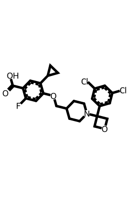 O=C(O)c1cc(C2CC2)c(OCC2CCN(C3(c4cc(Cl)cc(Cl)c4)COC3)CC2)cc1F